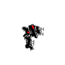 C#CCOc1cc(-n2nc(C(C)(C)C)oc2=O)c(Cl)cc1Cl.CCS(=O)(=O)c1cccnc1S(=O)(=O)NC(=O)Nc1nc(OC)cc(OC)n1.COc1nc(C)nc(NC(=O)NS(=O)(=O)c2ccccc2CCC(F)(F)F)n1.CP(=O)(O)CCC(N)C(=O)O